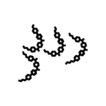 CCCCC1CCC(C(C)C2CCC(C(C)c3ccc(C4CCC(CC)CC4)cc3)CC2)CC1.CCCCC1CCC(C(C)C2CCC(C(C)c3ccc(C4CCC(CCC)CC4)cc3)CC2)CC1.CCCCC1CCC(c2ccc(C(C)C3CCC(C(C)C4CCC(CCCC)CC4)CC3)cc2)CC1.CCCCCC1CCC(c2ccc(C(C)C3CCC(C(C)C4CCC(CCCC)CC4)CC3)cc2)CC1